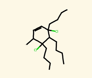 [CH2]C1C=CC(Cl)(CCCC)C(CCCC)C1(Cl)CCCC